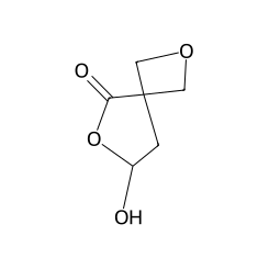 O=C1OC(O)CC12COC2